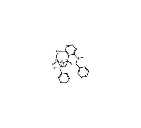 CN(Cc1ccccc1)c1ncnc2c1[C@@H]1OC[C@H](CN2)[N@+]1(C)[S+]([O-])c1ccccc1